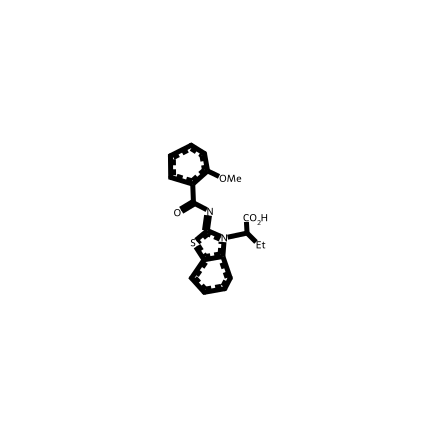 CCC(C(=O)O)n1c(=NC(=O)c2ccccc2OC)sc2ccccc21